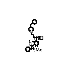 CSn1c(-c2nccc(N(C)CCCN3CCC(Cc4ccccc4)CC3)c2Cl)nc2ccccc21.Cl.Cl.Cl